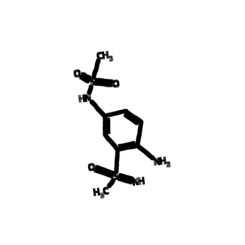 CS(=N)(=O)c1cc(NS(C)(=O)=O)ccc1N